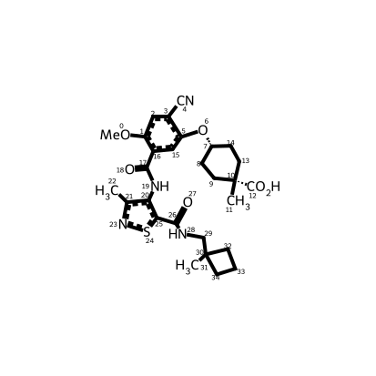 COc1cc(C#N)c(O[C@H]2CC[C@@](C)(C(=O)O)CC2)cc1C(=O)Nc1c(C)nsc1C(=O)NCC1(C)CCC1